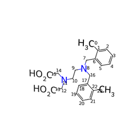 Cc1ccccc1CN(CCN(CC(=O)O)CC(=O)O)Cc1ccccc1C